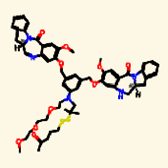 COCCOCCOCCN(CC(C)(C)SSCCCC(C)=O)c1cc(COc2cc3c(cc2OC)C(=O)N2c4ccccc4C[C@H]2C=N3)cc(COc2cc3c(cc2OC)C(=O)N2c4ccccc4C[C@H]2CN3)c1